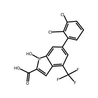 O=C(O)c1cc2c(C(F)(F)F)cc(-c3cccc(Cl)c3Cl)cc2n1O